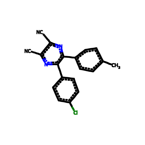 Cc1ccc(-c2nc(C#N)c(C#N)nc2-c2ccc(Cl)cc2)cc1